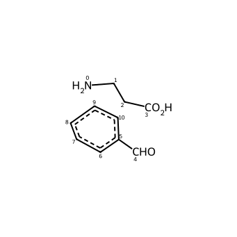 NCCC(=O)O.O=Cc1ccccc1